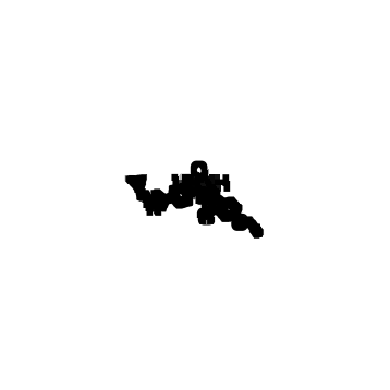 C#CCOc1ccc2c(c1)C(=O)N(C[C@@]1(c3ccc(-c4cnn(CC5CC5)c4)cc3)NC(=O)NC1=O)C2